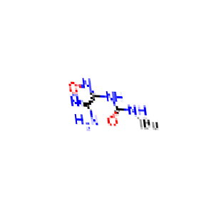 CC(C)(C)NC(=O)Nc1nonc1N